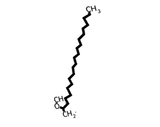 [CH2]C(CCCCCCCCCCCCCCCCCCCC)OC